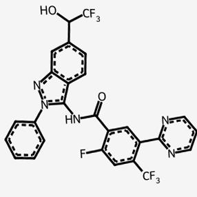 O=C(Nc1c2ccc(C(O)C(F)(F)F)cc2nn1-c1ccccc1)c1cc(-c2ncccn2)c(C(F)(F)F)cc1F